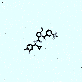 CC[C@@H]1CC[C@H](C(=O)NC(c2ccc(C)c(F)c2)C2CC2)N1C(=O)c1cccc(S(C)(=O)=O)c1